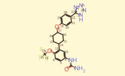 NC(=O)Nc1ccc(OC(F)(F)F)c(C2CCC(Oc3ccc(-c4nnn[nH]4)cc3)CC2)c1